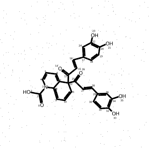 O=C(O)N1C=CC=C2C1=CC=CC2(C(=O)C=Cc1ccc(O)c(O)c1)C(=O)C=Cc1ccc(O)c(O)c1